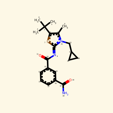 Cc1c(C(C)(C)C)s/c(=N\C(=O)c2cccc(C(N)=O)c2)n1CC1CC1